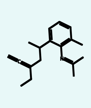 C=C=C(CC)CC(C)c1cccc(C)c1N=C(C)C